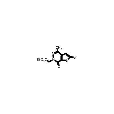 CCOC(=O)Cn1nc(C)c2cc(Br)sc2c1=O